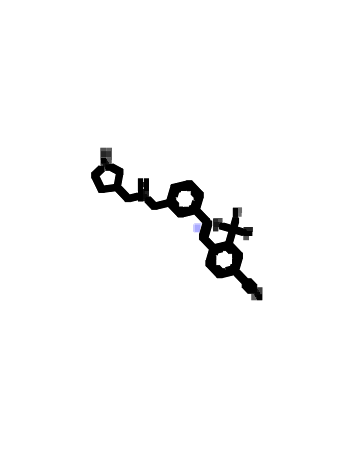 N#Cc1ccc(/C=C/c2cccc(CNCC3CCNC3)c2)c(C(F)(F)F)c1